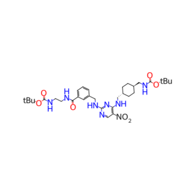 CC(C)(C)OC(=O)NCCNC(=O)c1cccc(CNc2ncc([N+](=O)[O-])c(NC[C@H]3CC[C@H](CNC(=O)OC(C)(C)C)CC3)n2)c1